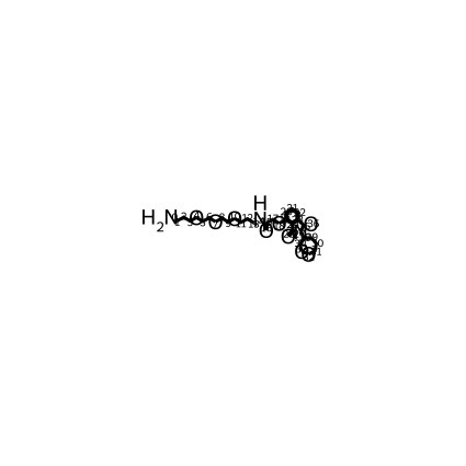 NCCCOCCOCCOCCCNC(=O)COc1cccc2c1C(=O)N(C1CCCOOC1)C2=O